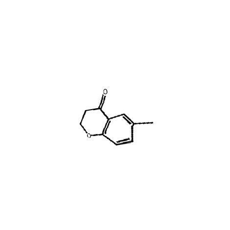 Cc1ccc2c(c1)C(=O)CCO2